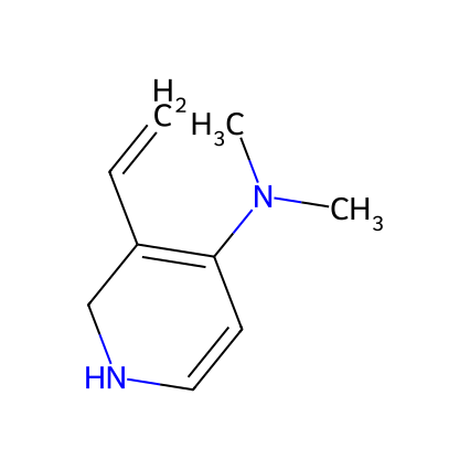 C=CC1=C(N(C)C)C=CNC1